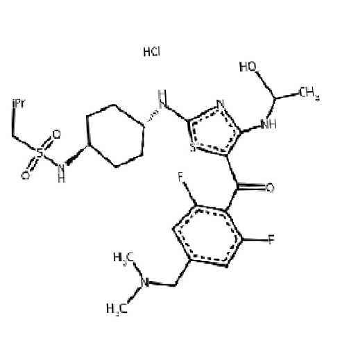 CC(C)CS(=O)(=O)N[C@H]1CC[C@H](Nc2nc(NC(C)O)c(C(=O)c3c(F)cc(CN(C)C)cc3F)s2)CC1.Cl